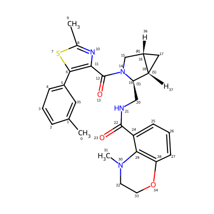 Cc1cccc(-c2sc(C)nc2C(=O)N2C[C@@H]3C[C@@H]3[C@H]2CNC(=O)c2cccc3c2N(C)CCO3)c1